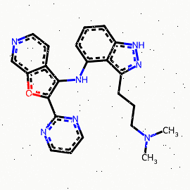 CN(C)CCCc1n[nH]c2cccc(Nc3c(-c4ncccn4)oc4cnccc34)c12